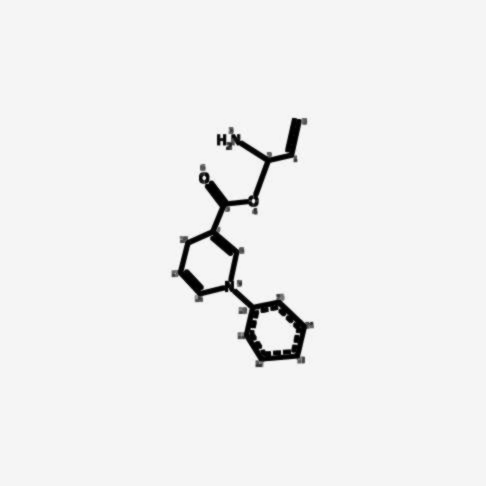 C=CC(N)OC(=O)C1=CN(c2ccccc2)C=CC1